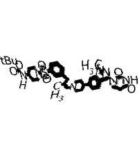 CC(Cc1cccc(S(=O)(=O)N2CCC(NC(=O)OC(C)(C)C)CC2)c1)CN1CCC(c2ccc3c(N4CCC(=O)NC4=O)nn(C)c3c2)CC1